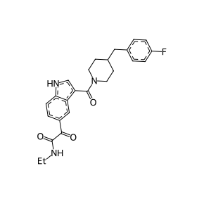 CCNC(=O)C(=O)c1ccc2[nH]cc(C(=O)N3CCC(Cc4ccc(F)cc4)CC3)c2c1